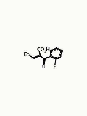 CC/C=C(\C(=O)O)C(=O)c1ccccc1F